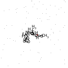 CCc1nc(N2C[C@H]3C[C@@H]2CN3CCOC)ccc1Nc1ncc(C(F)(F)F)c(-c2cc3c(s2)COCCS3(=O)=O)n1